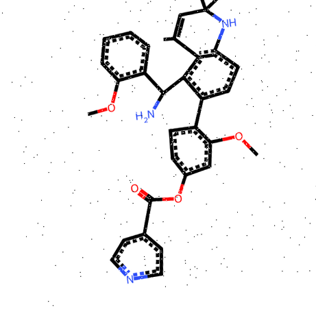 COc1cc(OC(=O)c2ccncc2)ccc1-c1ccc2c(c1C(N)c1ccccc1OC)C(C)=CC(C)(C)N2